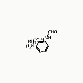 N.NC(=O)O.O=CO.c1ccccc1